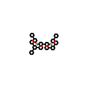 c1ccc(-c2ccc(N(c3ccc(-c4ccc(N(c5ccc(-c6ccccc6)cc5)c5c(-c6ccccc6)cc(-c6ccccc6)cc5-c5ccccc5)cc4)cc3)c3c(-c4ccccc4)cccc3-c3ccccc3)cc2)cc1